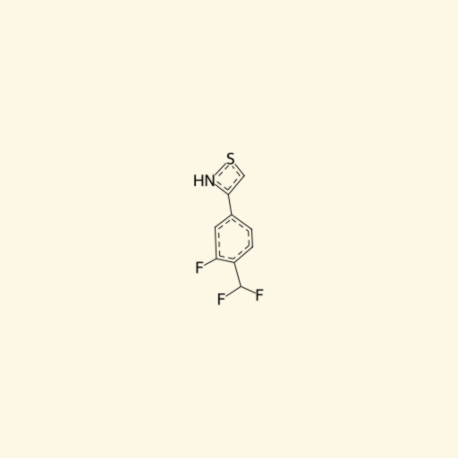 Fc1cc(-c2cs[nH]2)ccc1C(F)F